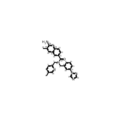 Cc1ccc(CN(Cc2cccc(-n3cncn3)c2)C(=O)c2ccc3nc(N)c(C)cc3c2)nc1